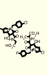 CC(NC(=O)c1c(O)c2cc(Cl)cn2n(Cc2ccc(F)cc2)c1=O)C(=O)O.O=C(O)CNC(=O)c1c(O)c2cc(Cl)cn2n(Cc2ccc(Cl)cc2)c1=O